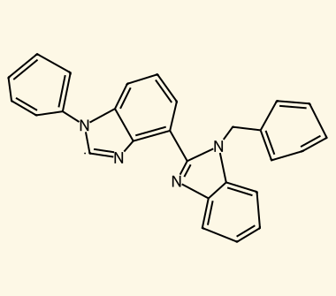 [c]1nc2c(-c3nc4ccccc4n3Cc3ccccc3)cccc2n1-c1ccccc1